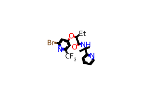 CCC(Oc1cc(Br)nc(C(F)(F)F)c1)C(=O)NC(C)(C)c1ccccn1